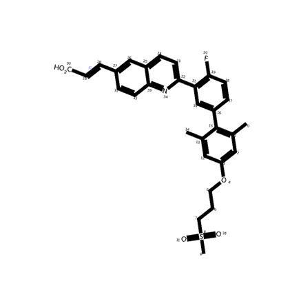 Cc1cc(OCCCS(C)(=O)=O)cc(C)c1-c1ccc(F)c(-c2ccc3cc(/C=C/C(=O)O)ccc3n2)c1